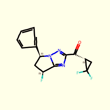 O=C(c1nc2n(n1)[C@H](c1ccccc1)C[C@@H]2F)[C@@H]1CC1(F)F